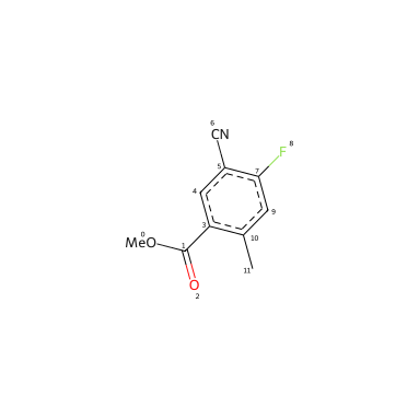 COC(=O)c1cc(C#N)c(F)cc1C